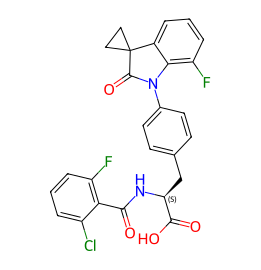 O=C(N[C@@H](Cc1ccc(N2C(=O)C3(CC3)c3cccc(F)c32)cc1)C(=O)O)c1c(F)cccc1Cl